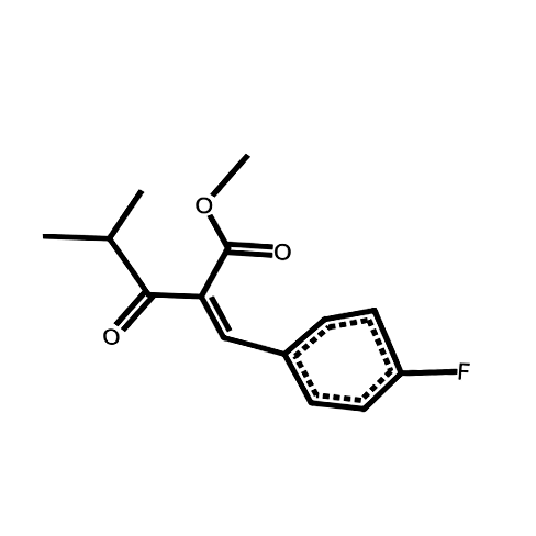 COC(=O)C(=Cc1ccc(F)cc1)C(=O)C(C)C